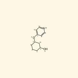 OC1CCCC(Oc2ccncc2)C1